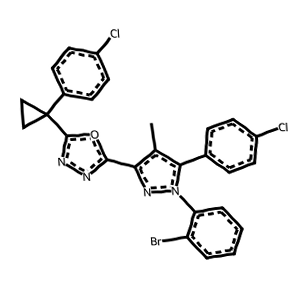 Cc1c(-c2nnc(C3(c4ccc(Cl)cc4)CC3)o2)nn(-c2ccccc2Br)c1-c1ccc(Cl)cc1